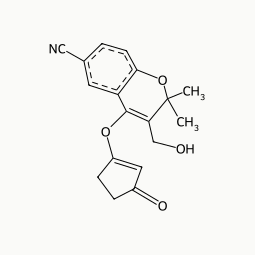 CC1(C)Oc2ccc(C#N)cc2C(OC2=CC(=O)CC2)=C1CO